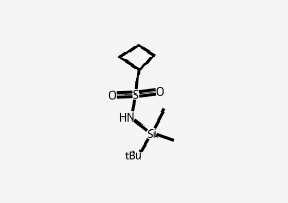 CC(C)(C)[Si](C)(C)NS(=O)(=O)C1CCC1